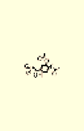 CC(=O)Oc1ccc([C@@H](O)C[N+](=O)[O-])cc1OC(C)=O